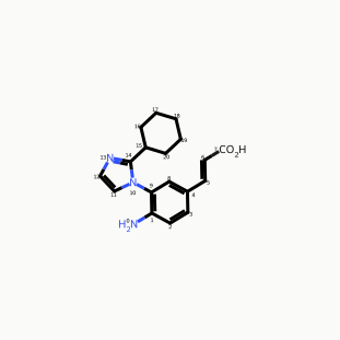 Nc1ccc(C=CC(=O)O)cc1-n1ccnc1C1CCCCC1